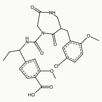 CCC(NC(=O)N1CC(=O)NCC(Cc2cc(Cl)ccc2OC)C1=O)c1ccc(C(=O)O)c(OC)c1